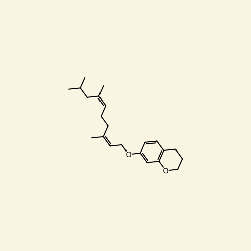 CC(=CCOc1ccc2c(c1)OCCC2)CCC=C(C)CC(C)C